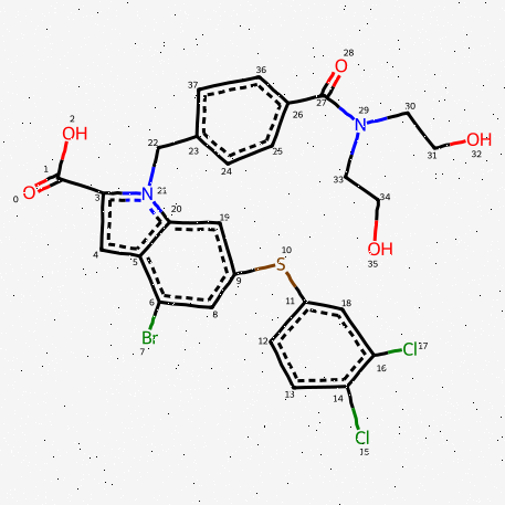 O=C(O)c1cc2c(Br)cc(Sc3ccc(Cl)c(Cl)c3)cc2n1Cc1ccc(C(=O)N(CCO)CCO)cc1